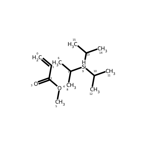 C=CC(=O)OC.CC(C)[SiH](C(C)C)C(C)C